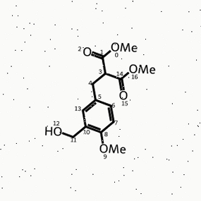 COC(=O)C(Cc1ccc(OC)c(CO)c1)C(=O)OC